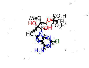 C#C[C@@](O)([C@@H](COC(C)(C(=O)O)C(=O)O)OC)[C@@H](O)n1cnc2c(N)nc(Cl)nc21